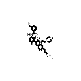 Cc1ccc(NC(=O)c2cccc(CF)c2)c(F)c1-c1cc2cnc(CCCN)cc2n(CCN2CCOCC2)c1=O